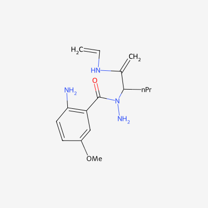 C=CNC(=C)C(CCC)N(N)C(=O)c1cc(OC)ccc1N